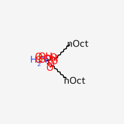 CCCCCCCCC=CCCCCCCCC(=O)OC(C)CC(O)(CN)C(C)OC(=O)CCCCCCCC=CCCCCCCCC.COS(=O)(=O)O